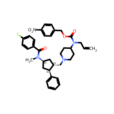 C=CCN(C(=O)OCc1ccc([N+](=O)[O-])cc1)C1CCN(C[C@H]2C[C@H](N(C)C(=O)c3ccc(F)cc3)C[C@@H]2c2ccccc2)CC1